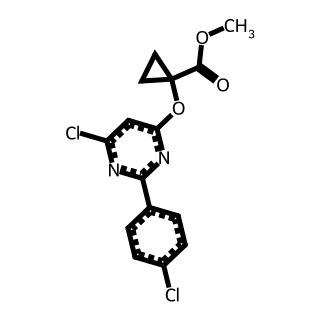 COC(=O)C1(Oc2cc(Cl)nc(-c3ccc(Cl)cc3)n2)CC1